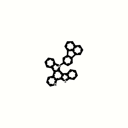 c1cc2c3c(cccc3c1)-c1cc(-n3c4ccccc4c4c5cccnc5c5sc6ccccc6c5c43)ccc1-2